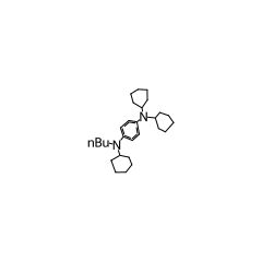 CCCCN(c1ccc(N(C2CCCCC2)C2CCCCC2)cc1)C1CCCCC1